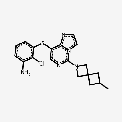 CC1CC2(C1)CN(c1ncc(Sc3ccnc(N)c3Cl)c3nccn13)C2